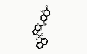 O=C1CCc2cc(Nc3ncc4ccn(S(=O)(=O)c5cccc6ccccc56)c4n3)ccc2N1